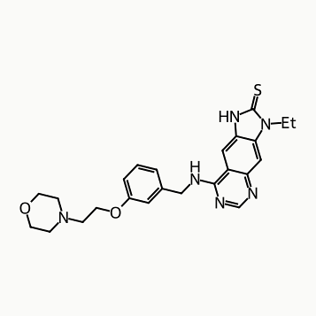 CCn1c(=S)[nH]c2cc3c(NCc4cccc(OCCN5CCOCC5)c4)ncnc3cc21